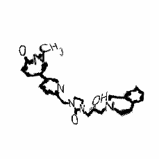 Cn1cc(-c2ccc(CN3CCN(C[C@H](O)CN4CCc5ccccc5C4)C3=O)nc2)ccc1=O